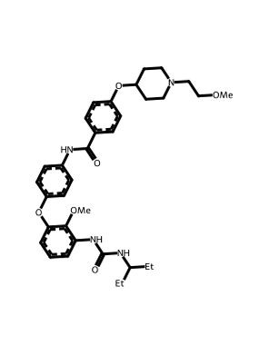 CCC(CC)NC(=O)Nc1cccc(Oc2ccc(NC(=O)c3ccc(OC4CCN(CCOC)CC4)cc3)cc2)c1OC